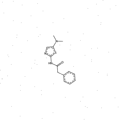 CN(C)c1cnc(NC(=O)Cc2ccccc2)s1